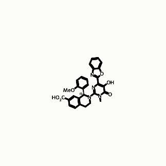 COc1ccccc1[C@@H]1c2cc(C(=O)O)ccc2CCN1c1nc(-c2nc3ccccc3o2)c(O)c(=O)n1C